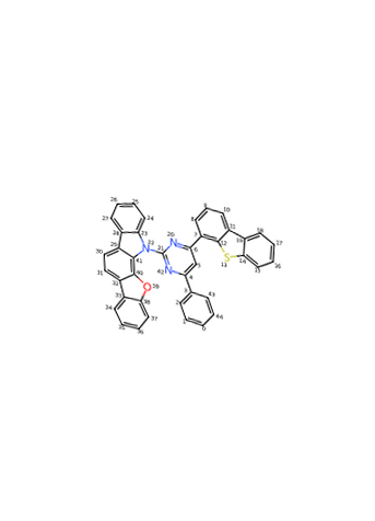 c1ccc(-c2cc(-c3cccc4c3sc3ccccc34)nc(-n3c4ccccc4c4ccc5c6ccccc6oc5c43)n2)cc1